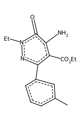 CCOC(=O)c1c(-c2cccc(C)c2)nn(CC)c(=O)c1N